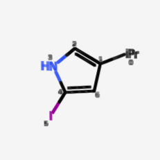 CC(C)c1c[nH]c(I)c1